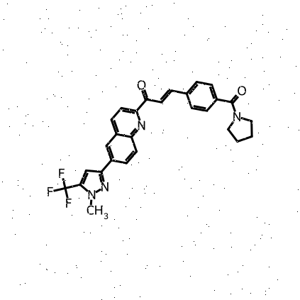 Cn1nc(-c2ccc3nc(C(=O)C=Cc4ccc(C(=O)N5CCCC5)cc4)ccc3c2)cc1C(F)(F)F